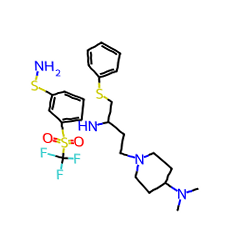 CN(C)C1CCN(CCC(CSc2ccccc2)Nc2ccc(SN)cc2S(=O)(=O)C(F)(F)F)CC1